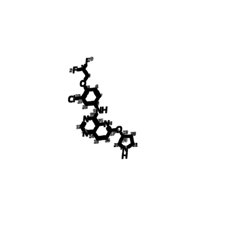 FC(F)COc1ccc(Nc2ncnc3ccc(O[C@H]4CCNC4)nc23)cc1Cl